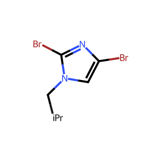 CC(C)Cn1cc(Br)nc1Br